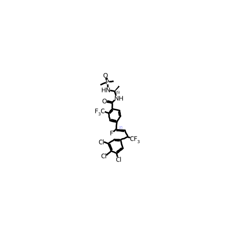 C[C@@H](NC(=O)c1ccc(/C(F)=C/C(c2cc(Cl)c(Cl)c(Cl)c2)C(F)(F)F)cc1C(F)(F)F)NP(C)(C)=O